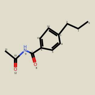 CCCc1ccc(C(=O)NC(C)=O)cc1